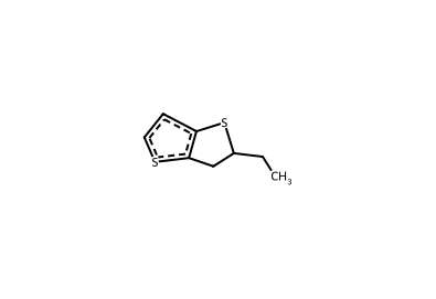 CCC1Cc2sccc2S1